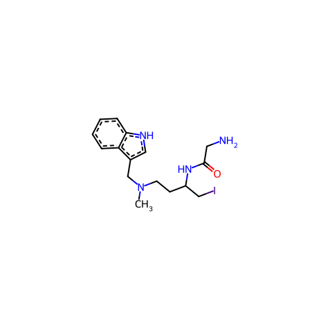 CN(CCC(CI)NC(=O)CN)Cc1c[nH]c2ccccc12